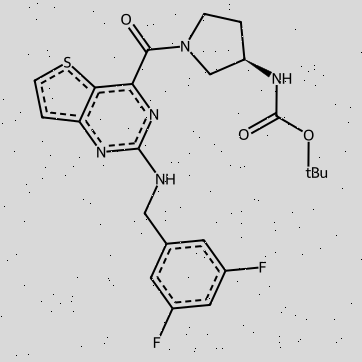 CC(C)(C)OC(=O)N[C@@H]1CCN(C(=O)c2nc(NCc3cc(F)cc(F)c3)nc3ccsc23)C1